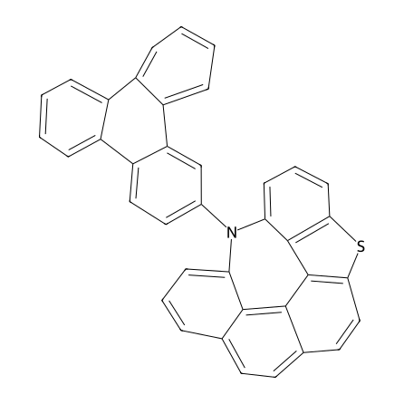 c1ccc2c(c1)c1ccccc1c1cc(-n3c4cccc5ccc6ccc7sc8cccc3c8c7c6c54)ccc21